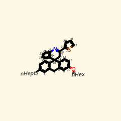 CCCCCCCc1ccc2c(c1)Cc1cc(OCCCCCC)ccc1C21CC(c2cccs2)=Nc2ccccc21